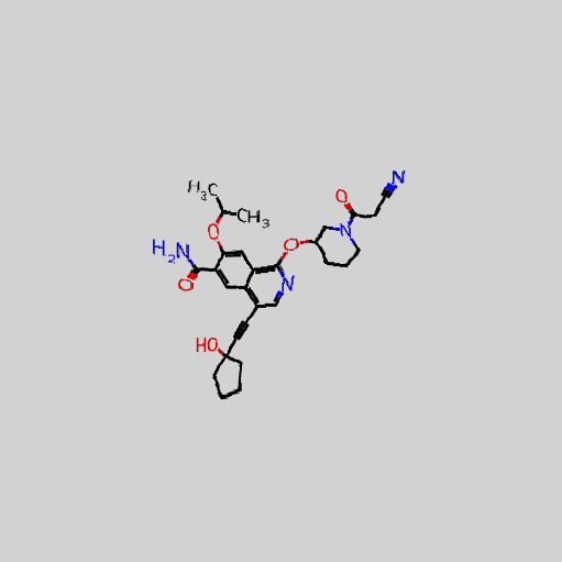 CC(C)Oc1cc2c(OC3CCCN(C(=O)CC#N)C3)ncc(C#CC3(O)CCCC3)c2cc1C(N)=O